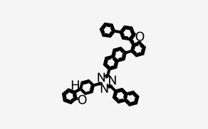 C1=C[C@H]2c3ccccc3OC2C=C1c1nc(-c2ccc3ccccc3c2)nc(-c2ccc3ccc(-c4cccc5oc6ccc(-c7ccccc7)cc6c45)cc3c2)n1